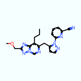 CCCc1c(Cc2ccnn2-c2cccc(C#N)n2)ncn2nc(COC)nc12